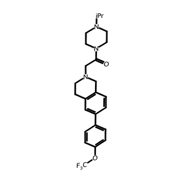 CC(C)N1CCN(C(=O)CN2CCc3cc(-c4ccc(OC(F)(F)F)cc4)ccc3C2)CC1